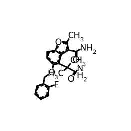 Cc1oc2ccc(OCc3ccccc3F)c(C(C)(C)C(N)=O)c2c1C(N)=O